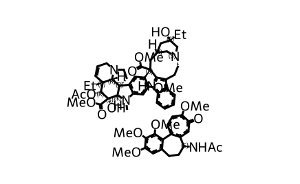 CC[C@]1(O)C[C@@H]2C[N@@](CCc3c([nH]c4ccccc34)[C@@](C(=O)OC)(c3cc4c(cc3OC)N(C)[C@H]3[C@@](O)(C(=O)OC)[C@H](OC(C)=O)[C@]5(CC)C=CCN6CC[C@]43[C@@H]65)C2)C1.COc1cc2c(c(OC)c1OC)-c1ccc(OC)c(=O)cc1[C@@H](NC(C)=O)CC2